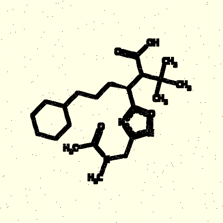 CC(=O)N(C)Cc1noc([C@H](CCCC2CCCCC2)C(C(=O)O)C(C)(C)C)n1